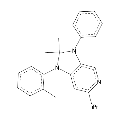 Cc1ccccc1N1c2cc(C(C)C)ncc2N(c2ccccc2)C1(C)C